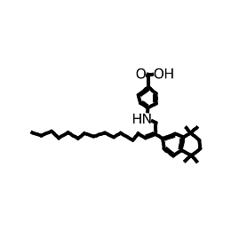 CCCCCCCCCCCCC/C=C(\CNc1ccc(C(=O)O)cc1)c1ccc2c(c1)C(C)(C)CCC2(C)C